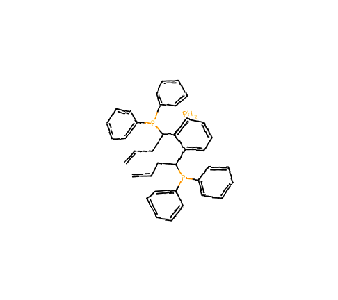 C=CCC(c1cccc(P)c1C(CC=C)P(c1ccccc1)c1ccccc1)P(c1ccccc1)c1ccccc1